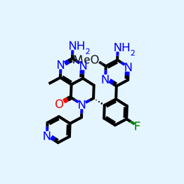 COc1nc(-c2cc(F)ccc2[C@H]2Cc3nc(N)nc(C)c3C(=O)N2Cc2ccncc2)cnc1N